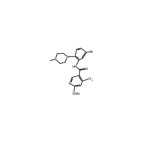 COc1cc(C(F)(F)F)c(C(=O)Nc2cc(Br)ccc2N2CCN(C)CC2)cn1